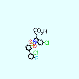 O=C(O)CCc1cn(S(=O)(=O)c2cccc(-c3cccc(F)c3Cl)c2)c2ccc(Cl)cc12